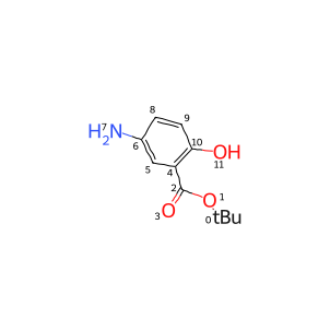 CC(C)(C)OC(=O)c1cc(N)ccc1O